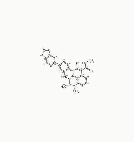 CNC(=O)c1c(F)cnc2c(C(C)[C@H](C)CNc3cc(-c4cnc5c(c4)COC5)ncn3)cccc12